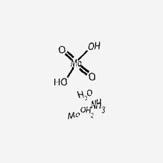 N.O.O.[Mo].[O]=[Mo](=[O])([OH])[OH]